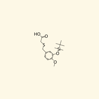 COc1ccc(CSCC(=O)O)cc1O[Si](C)(C)C(C)(C)C